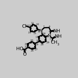 CC(=N)N1C(=N)CCN(c2ccc(Cl)cc2)c2cc(-c3ccc(C(=O)O)cc3)ccc21